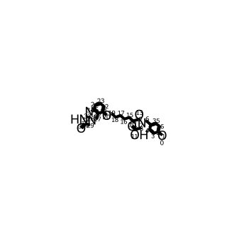 COc1ccc(CN(CC(=O)O)C(=O)CCCCCCOc2cccc3c2CN2CC(=O)NC2=N3)cc1